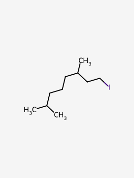 CC(C)CCCC(C)CCI